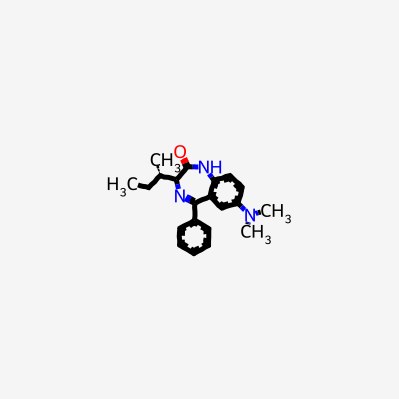 CC[C@H](C)C1N=C(c2ccccc2)c2cc(N(C)C)ccc2NC1=O